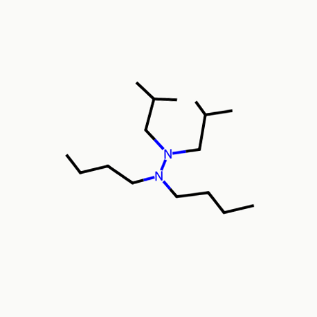 CCCCN(CCCC)N(CC(C)C)CC(C)C